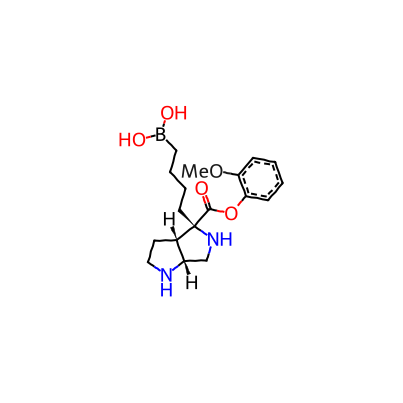 COc1ccccc1OC(=O)[C@]1(CCCCB(O)O)NC[C@@H]2NCC[C@@H]21